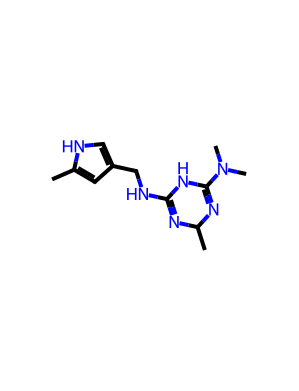 Cc1cc(CNC2=NC(C)N=C(N(C)C)N2)c[nH]1